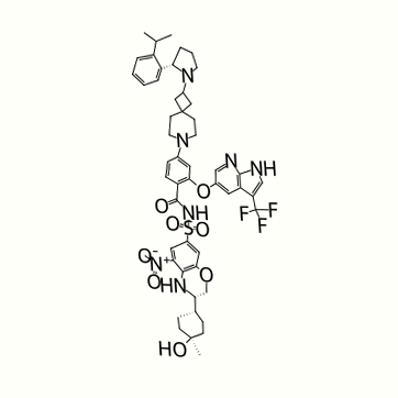 CC(C)c1ccccc1[C@@H]1CCCN1C1CC2(CCN(c3ccc(C(=O)NS(=O)(=O)c4cc5c(c([N+](=O)[O-])c4)N[C@@H]([C@H]4CC[C@](C)(O)CC4)CO5)c(Oc4cnc5[nH]cc(C(F)(F)F)c5c4)c3)CC2)C1